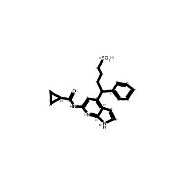 O=C(Nc1cc(C(CCCS(=O)(=O)O)c2ccccc2)c2cc[nH]c2n1)C1CC1